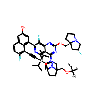 [2H]C([2H])([2H])OCC12CCC(CN(c3nc(OC[C@@]45CCCN4C[C@H](F)C5)nc4c(F)c(-c5cc(O)cc6ccc(F)c(C#C[Si](C(C)C)(C(C)C)C(C)C)c56)nc(C)c34)C1)N2